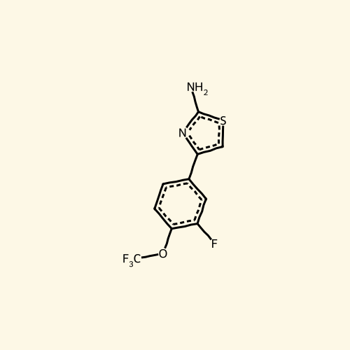 Nc1nc(-c2ccc(OC(F)(F)F)c(F)c2)cs1